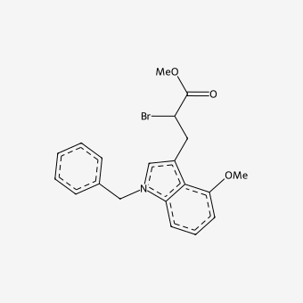 COC(=O)C(Br)Cc1cn(Cc2ccccc2)c2cccc(OC)c12